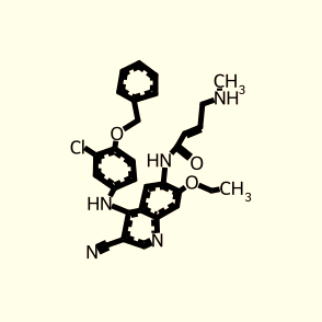 CCOc1cc2ncc(C#N)c(Nc3ccc(OCc4ccccc4)c(Cl)c3)c2cc1NC(=O)/C=C/CNC